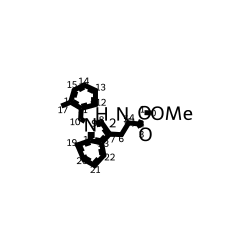 COOC(=O)[C@@H](N)Cc1cn(Cc2ccccc2C)c2ccccc12